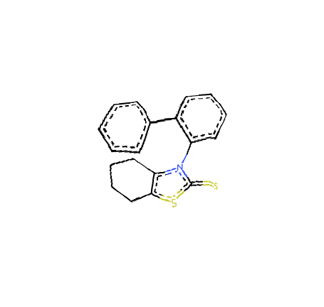 S=c1sc2c(n1-c1ccccc1-c1ccccc1)CCCC2